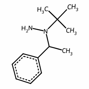 CC(c1ccccc1)N(N)C(C)(C)C